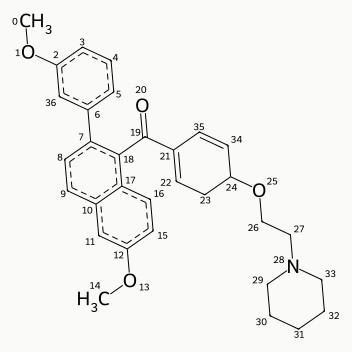 COc1cccc(-c2ccc3cc(OC)ccc3c2C(=O)C2=CCC(OCCN3CCCCC3)C=C2)c1